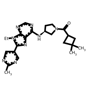 CCn1c(-c2cnc(C)nc2)nc2c(N[C@H]3CCN(C(=O)C4CC(C)(C)C4)C3)ncnc21